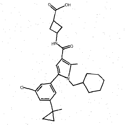 Cc1c(C(=O)NC2CC(C(=O)O)C2)cc(-c2cc(Cl)cc(C3(C)CC3)c2)n1CC1CCCCC1